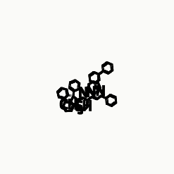 Cc1ccccc1[C@@]1(c2ccccc2S)C2=C(C(c3cc(-c4ccccc4)nc(C4C=C(c5ccccc5)C=CC4)n3)=CCC=C2)N(C2=CC=CCC=C2)c2ccccc21